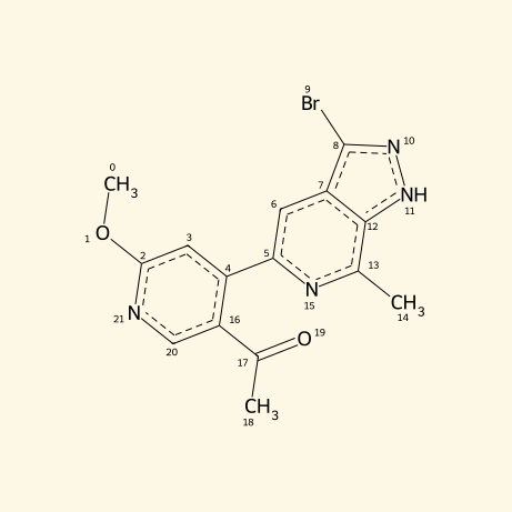 COc1cc(-c2cc3c(Br)n[nH]c3c(C)n2)c(C(C)=O)cn1